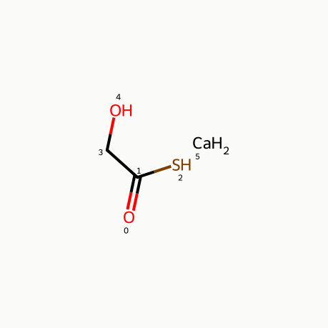 O=C(S)CO.[CaH2]